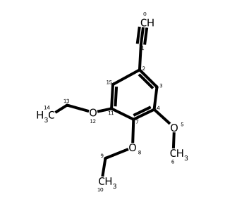 C#Cc1cc(OC)c(OCC)c(OCC)c1